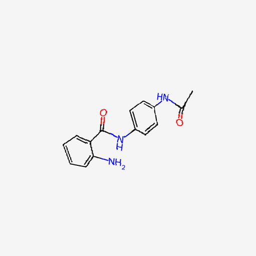 CC(=O)Nc1ccc(NC(=O)c2ccccc2N)cc1